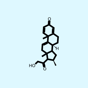 C[C@@H]1CC2[C@@H]3CCC4=CC(=O)C=CC4(C)C3=CCC2(C)C1C(=O)CO